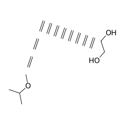 C=C.C=C.C=C.C=C.C=C.C=C.C=C.C=C.C=C.C=C.COC(C)C.OCCO